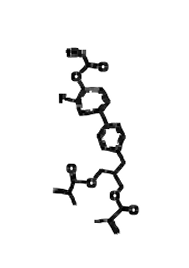 C=C(C)C(=O)OCC(COC(=O)C(=C)C)Cc1ccc(-c2ccc(OC(=O)C(C)(C)C)c(F)c2)cc1